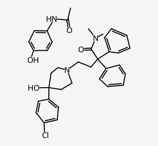 CC(=O)Nc1ccc(O)cc1.CN(C)C(=O)C(CCN1CCC(O)(c2ccc(Cl)cc2)CC1)(c1ccccc1)c1ccccc1